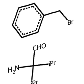 BrCc1ccccc1.CC(C)C(N)(C=O)C(C)C